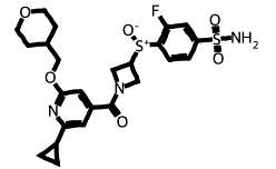 NS(=O)(=O)c1ccc([S+]([O-])C2CN(C(=O)c3cc(OCC4CCOCC4)nc(C4CC4)c3)C2)c(F)c1